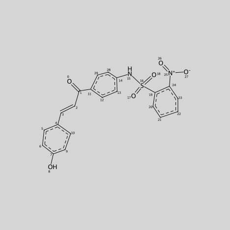 O=C(C=Cc1ccc(O)cc1)c1ccc(NS(=O)(=O)c2ccccc2[N+](=O)[O-])cc1